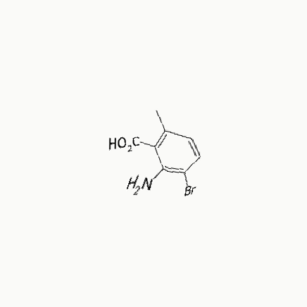 Cc1ccc(Br)c(N)c1C(=O)O